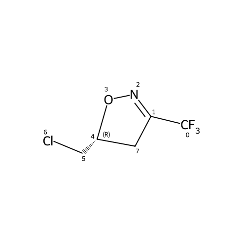 FC(F)(F)C1=NO[C@@H](CCl)C1